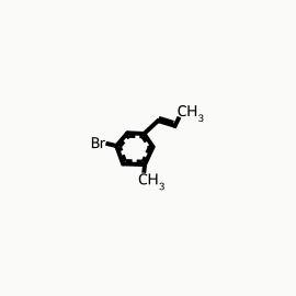 CC=Cc1cc(C)cc(Br)c1